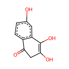 O=C1CC(O)=C(O)c2cc(O)ccc21